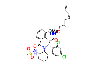 C=C/C=C\C=C(/C)CONC(=O)[C@@H]1c2c(OC)cccc2C(=O)N([C@H]2CCCC[C@@H]2NS(C)(=O)=O)[C@H]1c1ccc(Cl)cc1Cl